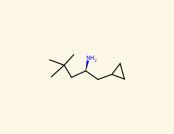 CC(C)(C)C[C@@H](N)CC1CC1